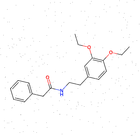 CCOc1ccc(CCNC(=O)Cc2ccccc2)cc1OCC